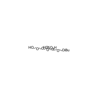 CC(C)COCCOCCOCCOCCOCCOCCO.O=S(=O)(O)O